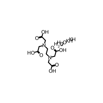 O.O.O=C(O)CN(CCN(CC(=O)O)CC(=O)O)CC(=O)O.[KH].[KH]